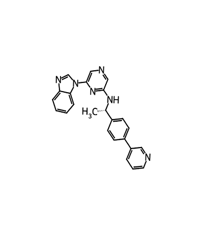 C[C@H](Nc1cncc(-n2cnc3ccccc32)n1)c1ccc(-c2cccnc2)cc1